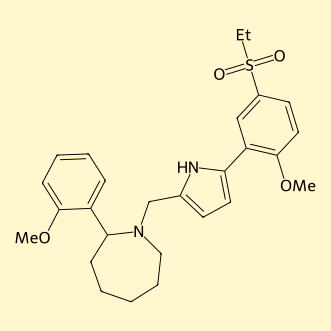 CCS(=O)(=O)c1ccc(OC)c(-c2ccc(CN3CCCCCC3c3ccccc3OC)[nH]2)c1